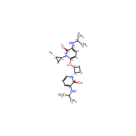 CC(C)Nc1cccn([C@H]2CC[C@@H]2Oc2ccc(NC(C)C)c(=O)n2[C@H]2C[C@@H]2F)c1=O